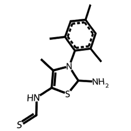 CC1=C(NC=S)SC(N)N1c1c(C)cc(C)cc1C